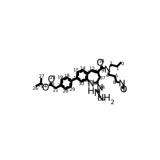 CCCN(CCCN=O)C(=O)C1=Cc2ccc(-c3ccc(CC(=O)OC(C)C)cc3)cc2NC(N=NN)C1